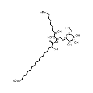 CCCCCCCCCCCCCCCCCCCCCCCCC(O)C(=O)N[C@H](CO[C@H]1O[C@H](CO)[C@H](O)[C@H](O)[C@H]1O)[C@H](O)[C@H](O)CCCCCCCCCCCCCCCC